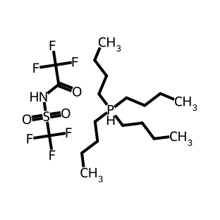 CCCC[PH](CCCC)(CCCC)CCCC.O=C(NS(=O)(=O)C(F)(F)F)C(F)(F)F